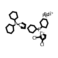 Clc1cc[c-](P(C2CCCCC2)C2CCCCC2)c1Cl.[Fe+2].[Pd+2].c1cc[c-](P(C2CCCCC2)C2CCCCC2)c1